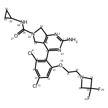 Nc1nc2c(c(-c3c(Cl)cc(Cl)cc3OCCN3CC(F)(F)C3)n1)CN(C(=O)NC1CC1)C2